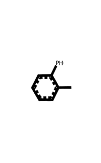 Cc1ccccc1[PH]